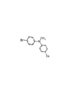 CN(c1ccc(O)cc1)c1ccc(Br)cc1